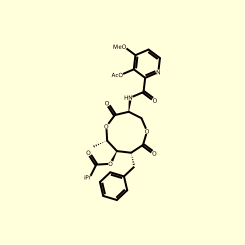 COc1ccnc(C(=O)N[C@H]2COC(=O)[C@H](Cc3ccccc3)[C@@H](OC(=O)C(C)C)[C@H](C)OC2=O)c1OC(C)=O